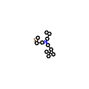 c1ccc(C2(c3ccccc3)c3ccccc3-c3ccc(-c4ccc(N(c5ccc(-c6cccc7ccccc67)cc5)c5ccc(-c6cccc7sc8ccccc8c67)cc5)cc4)cc32)cc1